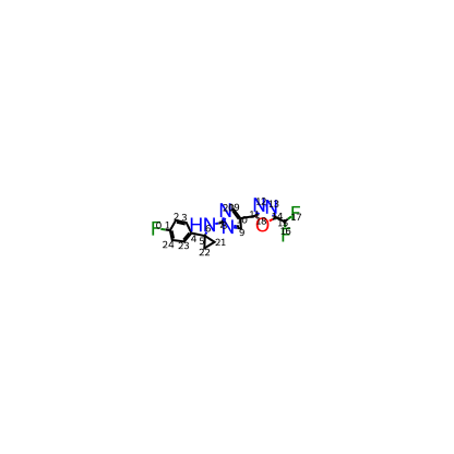 Fc1ccc(C2(Nc3ncc(-c4nnc(C(F)F)o4)cn3)CC2)cc1